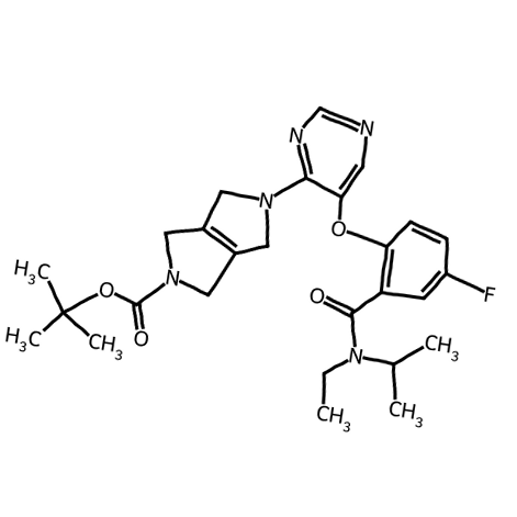 CCN(C(=O)c1cc(F)ccc1Oc1cncnc1N1CC2=C(CN(C(=O)OC(C)(C)C)C2)C1)C(C)C